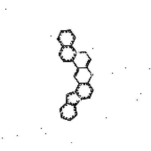 C1=C2Oc3ccn4c(cc5ccccc54)c3C=C2c2ccc3ccccc3[n+]2C1